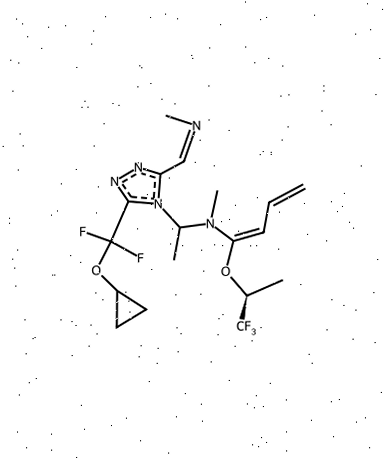 C=C/C=C(/O[C@@H](C)C(F)(F)F)N(C)C(C)n1c(/C=N\C)nnc1C(F)(F)OC1CC1